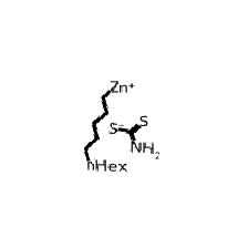 CCCCCCCCCC[CH2][Zn+].NC(=S)[S-]